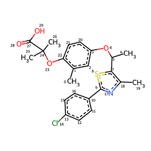 Cc1cc(OC(C)c2sc(-c3ccc(Cl)cc3)nc2C)ccc1OC(C)(C)C(=O)O